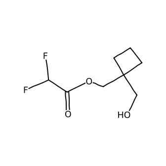 O=C(OCC1(CO)CCC1)C(F)F